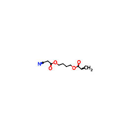 C=CC(=O)OCCCCOC(=O)CC#N